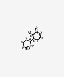 Cc1cccc(C2CCCOC2)c1C